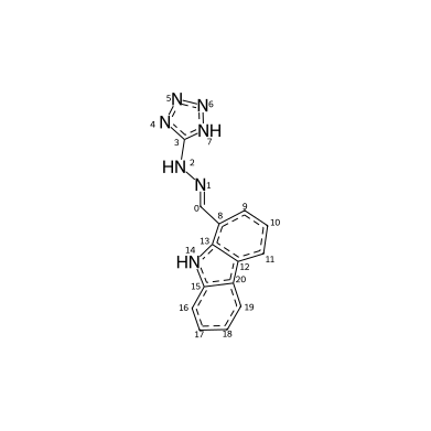 C(=NNc1nnn[nH]1)c1cccc2c1[nH]c1ccccc12